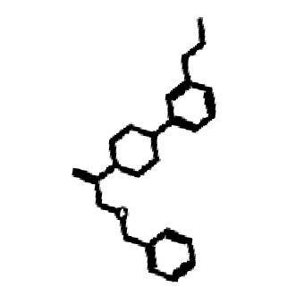 C=C(COCc1ccccc1)C1CCC(c2cccc(CCC)c2)CC1